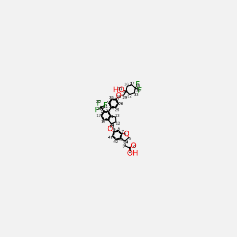 O=C(O)C[C@@H]1COc2cc(O[C@@H]3CCc4c3ccc(C(F)(F)F)c4-c3ccc(OCC4(O)CCC(F)(F)CC4)cc3)ccc21